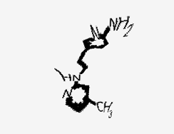 Cc1ccnc(NCCc2ccc(N)nc2)c1